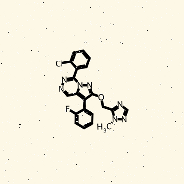 Cn1ncnc1COc1nn2c(-c3ccccc3Cl)nncc2c1-c1ccccc1F